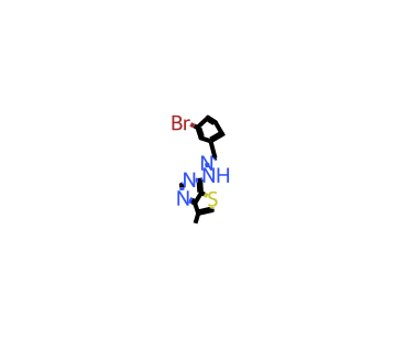 Cc1csc2c(NN=Cc3cccc(Br)c3)ncnc12